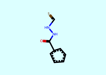 O=C(NNC=S)c1ccccc1